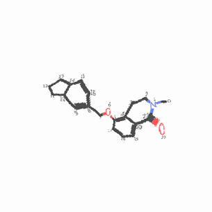 CN1CCc2c(OCC3=CC4CCCC4C=C3)cccc2C1=O